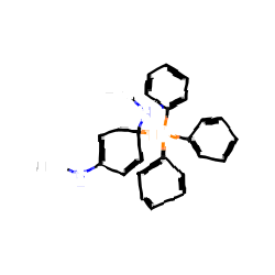 CNC1=CCC(NC)([PH](c2ccccc2)(c2ccccc2)c2ccccc2)C=C1